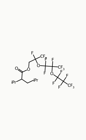 CC(C)CC(C(=O)OCC(F)(OC(F)(F)C(F)(OC(F)(F)C(F)(F)C(F)(F)F)C(F)(F)F)C(F)(F)F)C(C)C